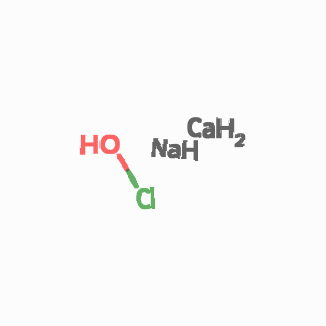 OCl.[CaH2].[NaH]